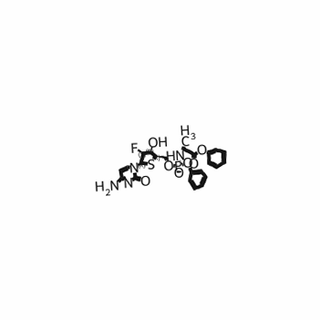 CC(NP(=O)(OC[C@H]1S[C@@H](n2ccc(N)nc2=O)[C@@H](F)[C@@H]1O)Oc1ccccc1)C(=O)Oc1ccccc1